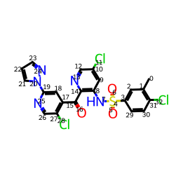 Cc1cc(S(=O)(=O)Nc2cc(Cl)cnc2C(=O)c2cc(-n3cccn3)ncc2Cl)ccc1Cl